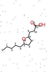 CCCCCC1CCC(CCC(=O)O)O1